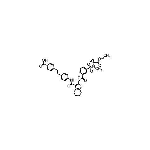 CCOC(=O)C1(N(C)S(=O)(=O)c2cccc(C(=O)Nc3sc4c(c3C(=O)Nc3ccc(CCc5ccc(C(=O)O)cc5)cc3)CCCC4)c2)CC1